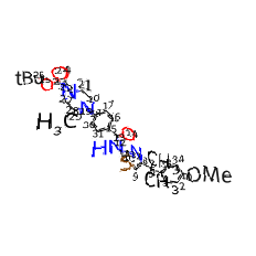 COc1ccc(C(C)(C)c2csc(NC(=O)c3ccc(N4CCN(C(=O)OC(C)(C)C)CC4C)cc3)n2)cc1